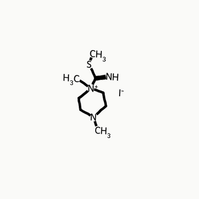 CSC(=N)[N+]1(C)CCN(C)CC1.[I-]